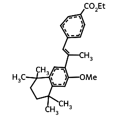 CCOC(=O)c1ccc(C=C(C)c2cc3c(cc2OC)C(C)(C)CCC3(C)C)cc1